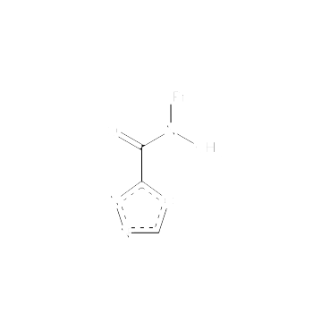 CC(C)N(C)C(=O)c1nnco1